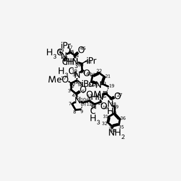 CC[C@H](C)[C@@H]([C@@H](CC(=O)N1CCC[C@H]1[C@H](OC)[C@@H](C)C(=O)N[C@H](Cc1ccccn1)C(=O)NCc1ccc(N)cc1)OC)N(C)C(=O)[C@@H](NC(=O)[C@H](C(C)C)N(C)C)C(C)C